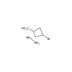 CC(C)(C)N.O=C(O)C1CC(Br)C1